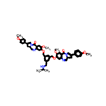 COc1ccc(C2=CN3C(=O)c4cc(OC)c(OCc5cc(CNC(C)C)cc(COc6cc7c(cc6OC)C(=O)N6C=C(c8ccc(OC)cc8)CC6C=N7)c5)cc4N=CC3C2)cc1